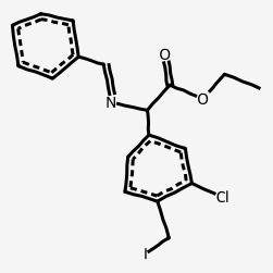 CCOC(=O)C(/N=C/c1ccccc1)c1ccc(CI)c(Cl)c1